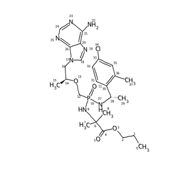 CCCOC(=O)C(C)(C)NP(=O)(CO[C@@H](C)Cn1cnc2c(N)ncnc21)N[C@@H](C)c1ccc(Cl)cc1C